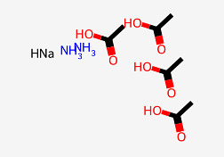 CC(=O)O.CC(=O)O.CC(=O)O.CC(=O)O.N.N.[NaH]